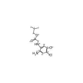 CC(C)COC(=O)CNc1cc(Cl)c(Cl)cc1N